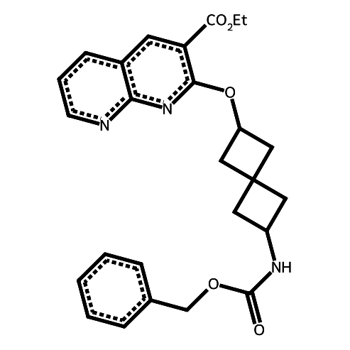 CCOC(=O)c1cc2cccnc2nc1OC1CC2(CC(NC(=O)OCc3ccccc3)C2)C1